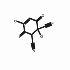 N#CC1C(=O)C(Cl)=CC(=O)C1(Cl)C#N